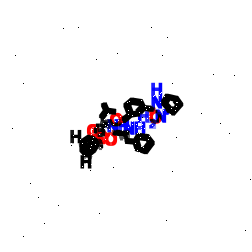 CC(C)C[C@H](NC(=O)[C@H](Cc1ccccc1)NC(=O)c1cccc(C(=O)Nc2ccccc2N)c1)B1OC2[C@@H]3C[C@H](C[C@]2(C)O1)C3(C)C